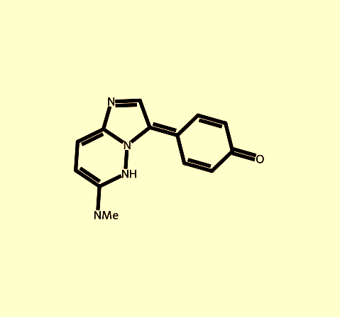 CNC1=CC=c2ncc(=C3C=CC(=O)C=C3)n2N1